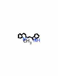 C[n+]1c(/C=C/c2c[nH]c3ccccc23)ccc2ccccc21